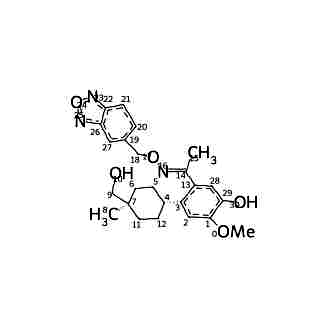 COc1cc([C@H]2CC[C@](C)(CO)CC2)c(C(C)=NOCc2ccc3nonc3c2)cc1O